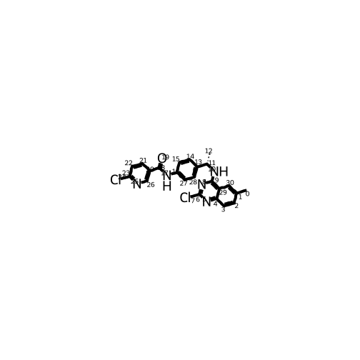 Cc1ccc2nc(Cl)nc(N[C@@H](C)c3ccc(NC(=O)c4ccc(Cl)nc4)cc3)c2c1